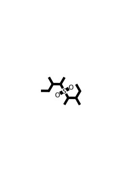 CCC(C)C(C)S(=O)(=O)C(C)C(C)CC